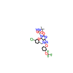 Cn1c(=O)n(CS(=O)(=O)NC(C)(C)C)c(=O)c2c1nc(Oc1cccc(OC(F)(F)F)c1)n2Cc1ccc(Cl)cc1